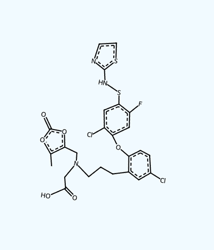 Cc1oc(=O)oc1CN(CCCc1cc(Cl)ccc1Oc1cc(F)c(SNc2nccs2)cc1Cl)CC(=O)O